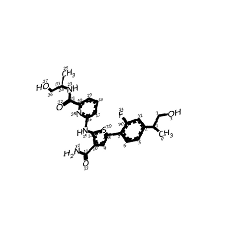 CC(CO)c1ccc(-c2cc(C(N)=O)c(Nc3cccc(C(=O)N[C@H](C)CO)n3)s2)c(F)c1